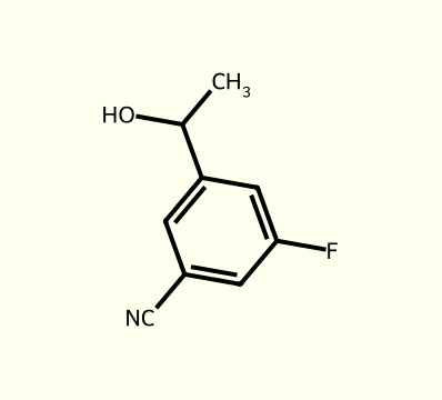 CC(O)c1cc(F)cc(C#N)c1